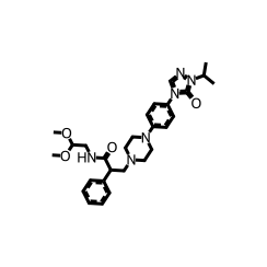 COC(CNC(=O)C(CN1CCN(c2ccc(-n3cnn(C(C)C)c3=O)cc2)CC1)c1ccccc1)OC